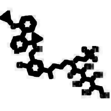 CCS(=O)(=O)CCN(CCCC(C)c1ccc(Cl)c(CNC2(c3cnccc3-c3ccccc3OC3CC3)CC2)c1)C(=O)C(O)C(O)C(O)C(O)CO